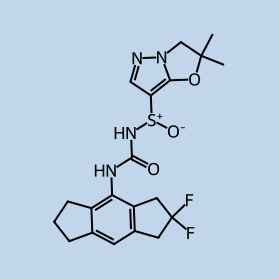 CC1(C)Cn2ncc([S+]([O-])NC(=O)Nc3c4c(cc5c3CC(F)(F)C5)CCC4)c2O1